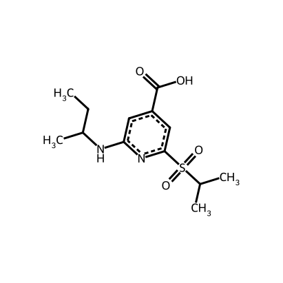 CCC(C)Nc1cc(C(=O)O)cc(S(=O)(=O)C(C)C)n1